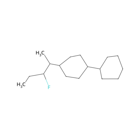 CCC(F)C(C)C1CCC(C2CCCCC2)CC1